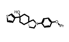 CC(C)Oc1ccc(N2CC[C@]3(CC[C@@](O)(c4ccsc4)CC3)C2)cc1